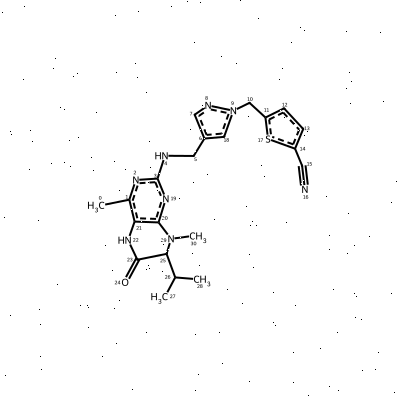 Cc1nc(NCc2cnn(Cc3ccc(C#N)s3)c2)nc2c1NC(=O)C(C(C)C)N2C